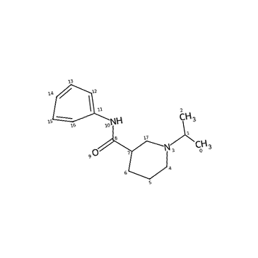 CC(C)N1CCCC(C(=O)Nc2ccccc2)C1